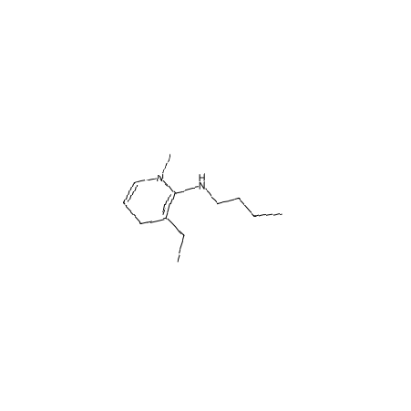 CCCCNC1=C(CC)CC=CN1C